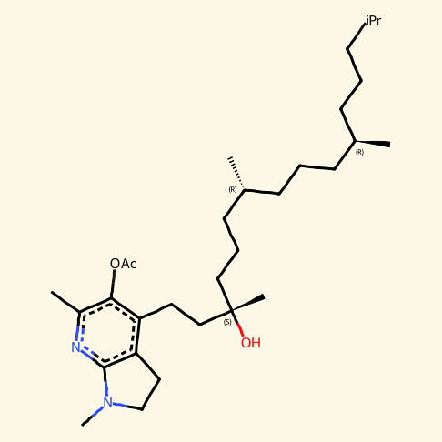 CC(=O)Oc1c(C)nc2c(c1CC[C@@](C)(O)CCC[C@H](C)CCC[C@H](C)CCCC(C)C)CCN2C